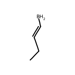 BC=CCC